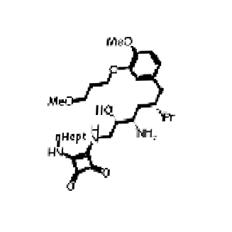 CCCCCCCNc1c(NC[C@H](O)[C@@H](N)C[C@H](Cc2ccc(OC)c(OCCCOC)c2)C(C)C)c(=O)c1=O